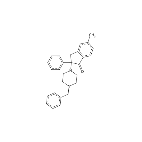 Cc1ccc2c(c1)CC(c1ccccc1)(N1CCN(Cc3ccccc3)CC1)C2=O